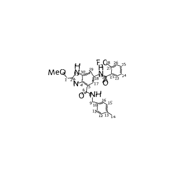 COCc1nc2c(C(=O)NCc3ccc(C)cc3)cc(NC(=O)c3ccccc3C(F)(F)F)cc2[nH]1